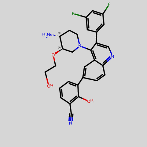 N#Cc1cccc(-c2ccc3ncc(-c4cc(F)cc(F)c4)c(N4CC[C@@H](N)[C@H](OCCO)C4)c3c2)c1O